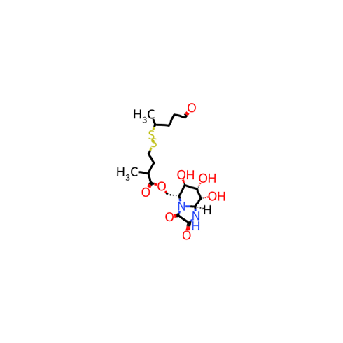 CC(CCC=O)SSCCC(C)C(=O)OC[C@@H]1[C@@H](O)[C@H](O)[C@H](O)[C@H]2NC(=O)C(=O)N12